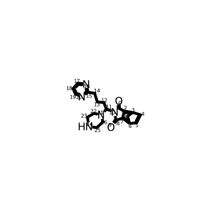 O=C1C2=C3C=CC(=C2C(=O)N1C(CCCc1ncccn1)N1CCNCC1)C3